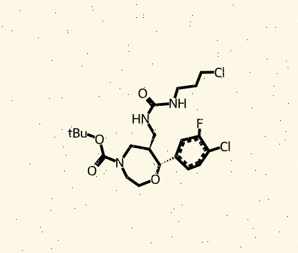 CC(C)(C)OC(=O)N1CCO[C@@H](c2ccc(Cl)c(F)c2)[C@H](CNC(=O)NCCCCl)C1